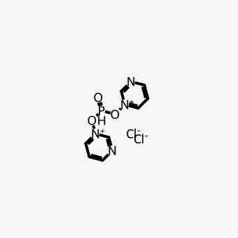 O=[PH](O[n+]1cccnc1)O[n+]1cccnc1.[Cl-].[Cl-]